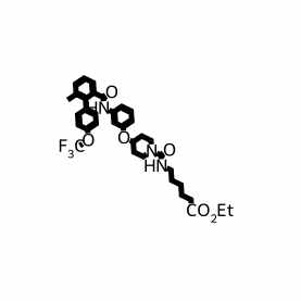 CCOC(=O)CCCCCNC(=O)N1CCC(Oc2cccc(NC(=O)c3cccc(C)c3-c3ccc(OC(F)(F)F)cc3)c2)CC1